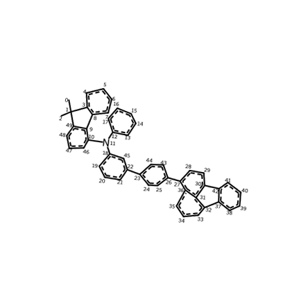 CC1(C)c2ccccc2-c2c(N(c3ccccc3)c3cccc(-c4ccc(-c5ccc6c7c(cccc57)-c5ccccc5-6)cc4)c3)cccc21